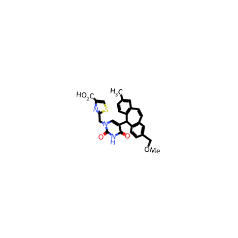 COCc1ccc2c(c1)C=Cc1cc(C)ccc1C2c1cn(Cc2nc(C(=O)O)cs2)c(=O)[nH]c1=O